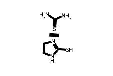 C=C.NC(N)=S.SC1=NCCN1